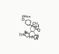 CCCCCCOc1ccc([C@]2(C)CC(c3ccn(CC)n3)=C(c3nnc[nH]3)C(=O)N2)cc1